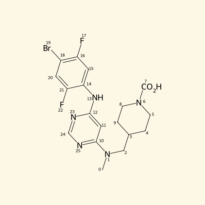 CN(CC1CCN(C(=O)O)CC1)c1cc(Nc2cc(F)c(Br)cc2F)ncn1